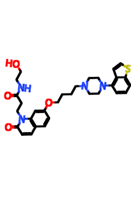 O=C(CCn1c(=O)ccc2ccc(OCCCCN3CCN(c4cccc5sccc45)CC3)cc21)NCCO